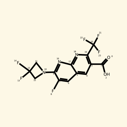 O=C(O)c1cc2cc(F)c(N3CC(F)(F)C3)nc2nc1C(F)(F)F